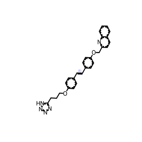 C(=C\c1ccc(OCc2ccc3ccccc3n2)cc1)/c1ccc(OCCCc2nnn[nH]2)cc1